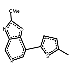 COc1nc2cncc(-c3ccc(C)s3)c2s1